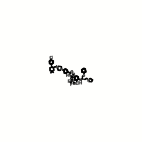 CC1(C)CCC(c2ccc(Cl)cc2)=C(CN2CCN(c3ccc(C(=O)NS(=O)(=O)c4ccc(N[C@H](CCN5CCCC5)CSc5ccccc5)c(Cl)c4S(=O)(=O)C(F)F)cc3)CC2)C1